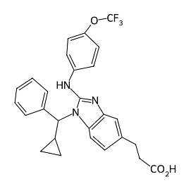 O=C(O)CCc1ccc2c(c1)nc(Nc1ccc(OC(F)(F)F)cc1)n2C(c1ccccc1)C1CC1